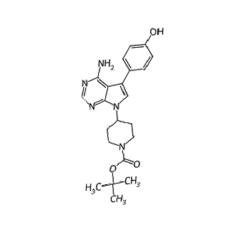 CC(C)(C)OC(=O)N1CCC(n2cc(-c3ccc(O)cc3)c3c(N)ncnc32)CC1